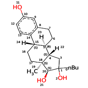 CCCCC1(O)C[C@H]2[C@@H]3CCc4cc(O)ccc4[C@H]3CC[C@]2(C)[C@@H]1O